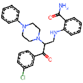 NC(=O)c1ccccc1NCC(C(=O)c1cccc(Cl)c1)N1CCN(c2ccccc2)CC1